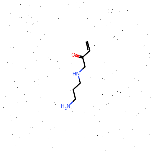 C=CC(=O)CNCCCN